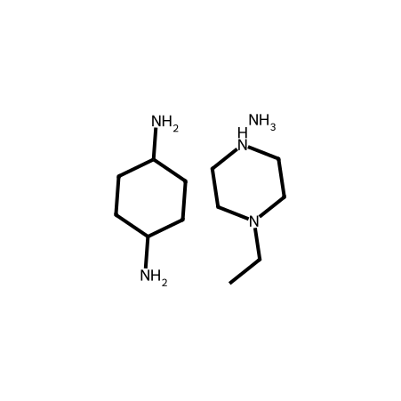 CCN1CCNCC1.N.NC1CCC(N)CC1